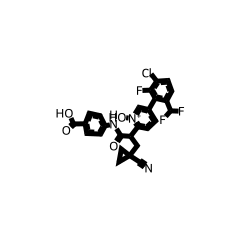 N#CC1(CC(C(=O)Nc2ccc(C(=O)O)cc2)c2ccc(-c3c(C(F)F)ccc(Cl)c3F)c[n+]2O)CC1